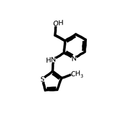 Cc1ccsc1Nc1ncccc1CO